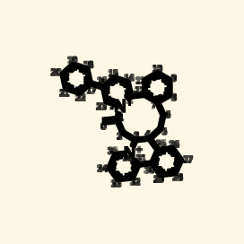 C=C1CC2C(CCc3ccccc3-c3ccc(-c4ccccc4)c[n+]31)c1ccccc1-c1cccc[n+]12